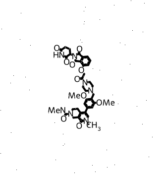 CNC(=O)N1CCc2c(-c3cc(OC)c(CN4CCN(C(=O)COc5cccc6c5C(=O)N(C5CCC(=O)NC5=O)C6=O)CC4)c(OC)c3)cn(C)c(=O)c2C1